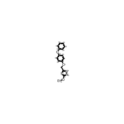 CCOc1nnc(COc2ccc(Oc3ccccc3)cc2)s1